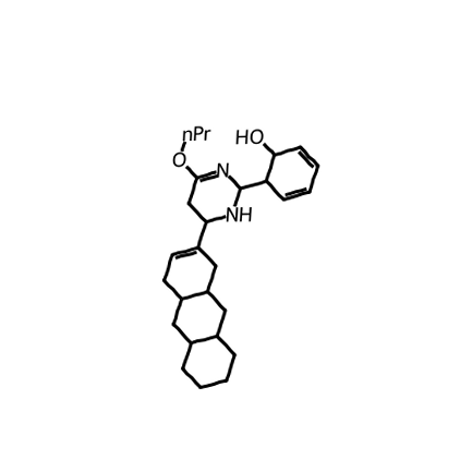 CCCOC1=NC(C2C=CC=CC2O)NC(C2=CCC3CC4CCCCC4CC3C2)C1